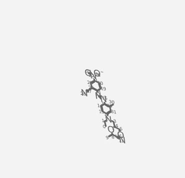 CCN(CC(C=O)OC(C)C#N)c1ccc(N=Nc2ccc([N+](=O)[O-])cc2C#N)c(C)c1